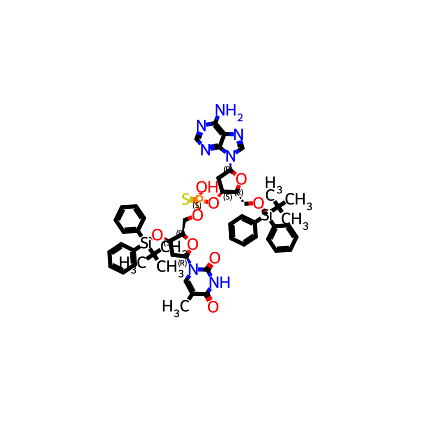 Cc1cn([C@H]2C[C@H](O[Si](c3ccccc3)(c3ccccc3)C(C)(C)C)[C@@H](CO[P@](O)(=S)O[C@H]3C[C@H](n4cnc5c(N)ncnc54)O[C@@H]3CO[Si](c3ccccc3)(c3ccccc3)C(C)(C)C)O2)c(=O)[nH]c1=O